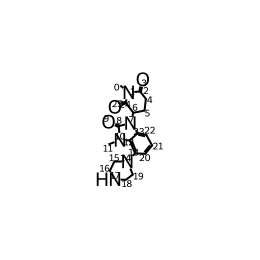 CN1C(=O)CCC(n2c(=O)n(C)c3c(N4CCNCC4)cccc32)C1=O